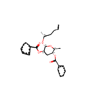 C=CCC[C@@H](C)O[C@@H]1O[C@@H](C)[C@H](OC(=O)c2ccccc2)C[C@H]1OC(=O)c1ccccc1